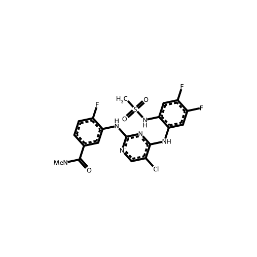 CNC(=O)c1ccc(F)c(Nc2ncc(Cl)c(Nc3cc(F)c(F)cc3NS(C)(=O)=O)n2)c1